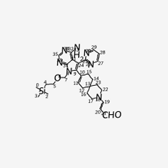 C[Si](C)(C)CCOCn1c(C2=CCC3(CC2)CCN(C=CC=O)CC3)c(-c2ncccn2)c2c(N)ncnc21